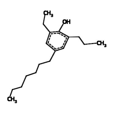 CCCCCCCc1cc(CC)c(O)c(CCC)c1